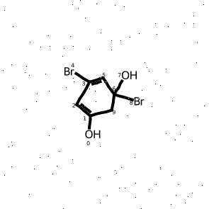 OC1=CC(Br)=CC(O)(Br)C1